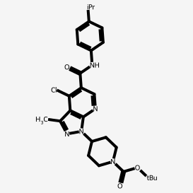 Cc1nn(C2CCN(C(=O)OC(C)(C)C)CC2)c2ncc(C(=O)Nc3ccc(C(C)C)cc3)c(Cl)c12